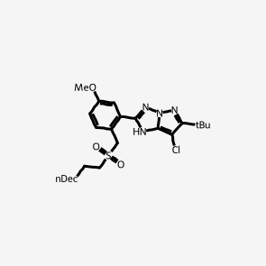 CCCCCCCCCCCCS(=O)(=O)Cc1ccc(OC)cc1-c1nn2nc(C(C)(C)C)c(Cl)c2[nH]1